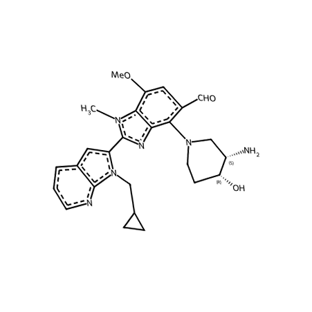 COc1cc(C=O)c(N2CC[C@@H](O)[C@@H](N)C2)c2nc(-c3cc4cccnc4n3CC3CC3)n(C)c12